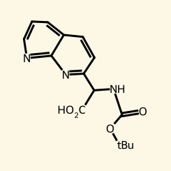 CC(C)(C)OC(=O)NC(C(=O)O)c1ccc2cccnc2n1